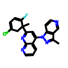 Cc1nn(-c2cc(C3(C)CC(Cl)=CC=C3F)nc3ncccc23)c2ccncc12